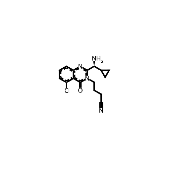 N#CCCCn1c([C@@H](N)C2CC2)nc2cccc(Cl)c2c1=O